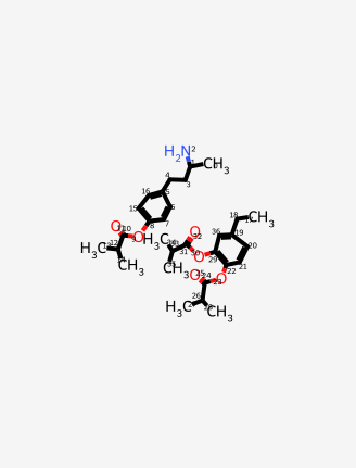 CC(N)CCc1ccc(OC(=O)C(C)C)cc1.CCc1ccc(OC(=O)C(C)C)c(OC(=O)C(C)C)c1